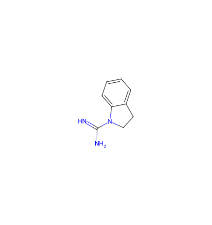 N=C(N)N1CCc2c[c]ccc21